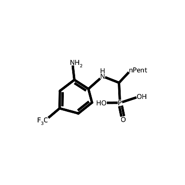 CCCCCC(Nc1ccc(C(F)(F)F)cc1N)P(=O)(O)O